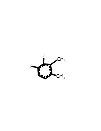 Cc1ccc(I)c(I)c1C